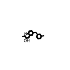 Cc1cccc(Cc2ccc3nc(C)c(O)cc3c2)c1